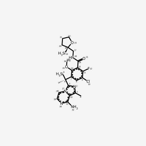 Cc1nc([C@@](C)([SiH3])c2cc(Cl)c(F)c(C(=O)NC[C@]3([SiH3])CCCO3)c2OC(C)C)n2ccnc(N)c12